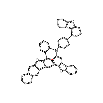 c1ccc(N(c2ccc(-c3cccc4oc5ccccc5c34)cc2)c2ccc3oc4ccccc4c3c2)c(-c2cccc3c2oc2cc4ccccc4cc23)c1